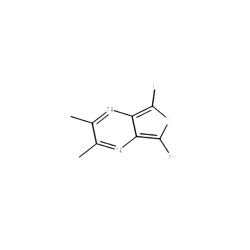 Cc1nc2c(Br)sc(Br)c2nc1C